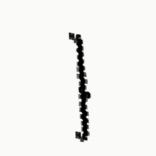 CCCCCCCCCCCCCCCCOC(=O)CCCCCCCCCCCCC